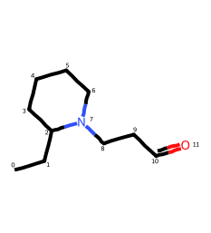 CCC1CCCCN1CCC=O